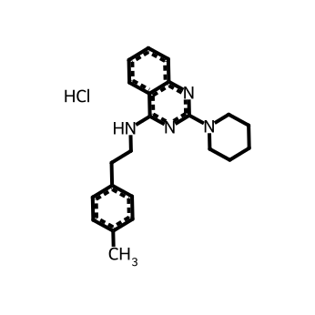 Cc1ccc(CCNc2nc(N3CCCCC3)nc3ccccc23)cc1.Cl